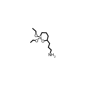 CCO[Si]1(OCC)CCCC(CCCN)O1